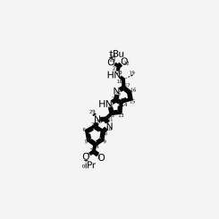 CC(C)OC(=O)c1ccc2c(c1)nc(-c1cc3ccc([C@@H](C)NC(=O)OC(C)(C)C)nc3[nH]1)n2C